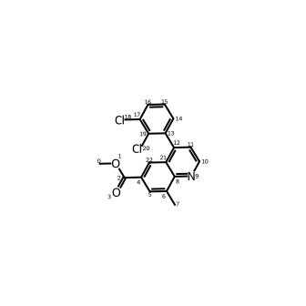 COC(=O)c1cc(C)c2nccc(-c3cccc(Cl)c3Cl)c2c1